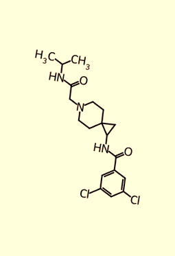 CC(C)NC(=O)CN1CCC2(CC1)CC2NC(=O)c1cc(Cl)cc(Cl)c1